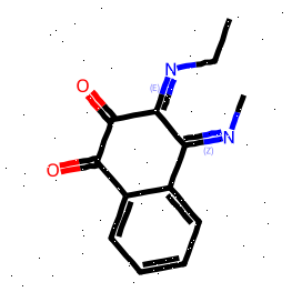 CC/N=c1/c(=O)c(=O)c2ccccc2/c1=N/C